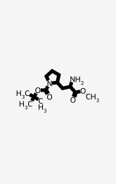 COC(=O)C(N)CC1CCCN1C(=O)OC(C)(C)C